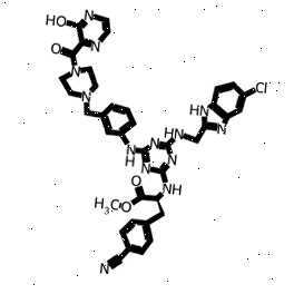 COC(=O)[C@H](Cc1ccc(C#N)cc1)Nc1nc(NCc2nc3cc(Cl)ccc3[nH]2)nc(Nc2cccc(CN3CCN(C(=O)c4nccnc4O)CC3)c2)n1